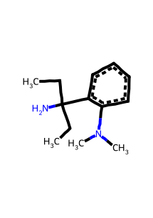 CCC(N)(CC)c1ccccc1N(C)C